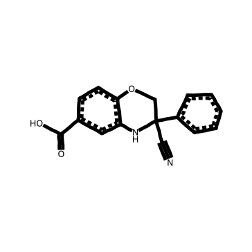 N#CC1(c2ccccc2)COc2ccc(C(=O)O)cc2N1